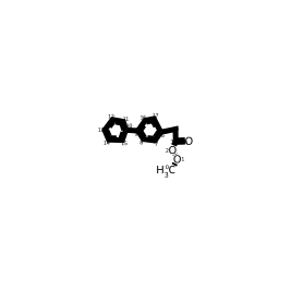 COOC(=O)Cc1ccc(-c2ccccc2)cc1